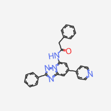 O=C(Cc1ccccc1)Nc1cc(-c2ccncc2)cc2nc(-c3ccccc3)nn12